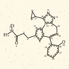 CCN(CC)C(=O)CCc1cc2c(s1)-n1c(nnc1C1CC1)CN=C2c1ccccc1Cl